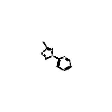 Cc1nnn(-c2ccccn2)n1